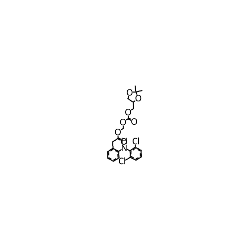 CC1(C)OCC(COC(=O)OCOC(=O)Cc2ccccc2Nc2c(Cl)cccc2Cl)O1